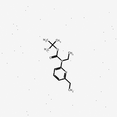 [CH2]Cc1cccc(N(CC)C(=O)OC(C)(C)C)n1